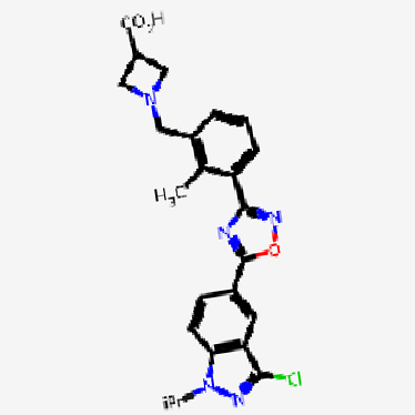 Cc1c(CN2CC(C(=O)O)C2)cccc1-c1noc(-c2ccc3c(c2)c(Cl)nn3C(C)C)n1